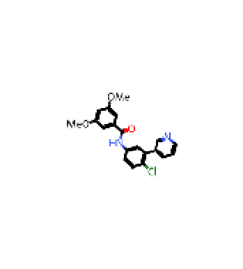 COc1cc(OC)cc(C(=O)Nc2ccc(Cl)c(-c3cccnc3)c2)c1